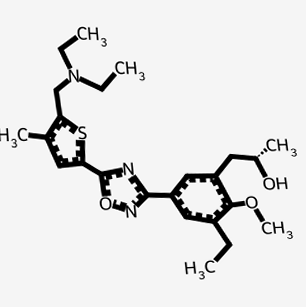 CCc1cc(-c2noc(-c3cc(C)c(CN(CC)CC)s3)n2)cc(C[C@H](C)O)c1OC